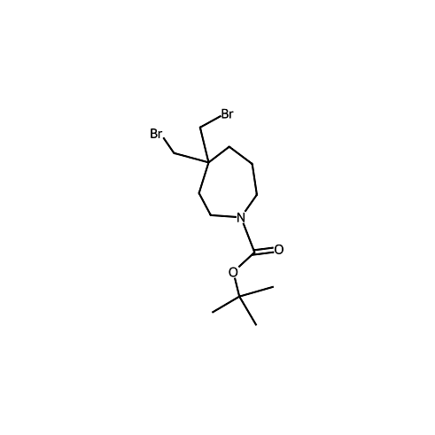 CC(C)(C)OC(=O)N1CCCC(CBr)(CBr)CC1